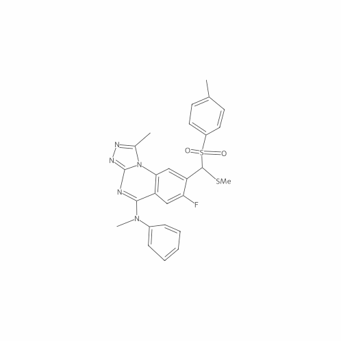 CSC(c1cc2c(cc1F)c(N(C)c1ccccc1)nc1nnc(C)n12)S(=O)(=O)c1ccc(C)cc1